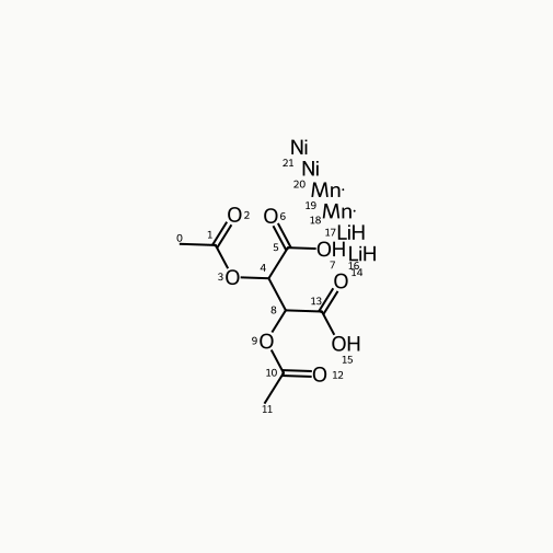 CC(=O)OC(C(=O)O)C(OC(C)=O)C(=O)O.[LiH].[LiH].[Mn].[Mn].[Ni].[Ni]